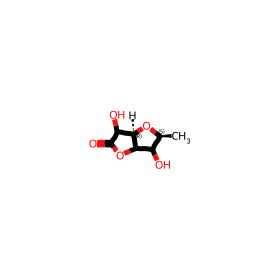 C[C@@H]1O[C@@H]2C(O)C(=O)OC2C1O